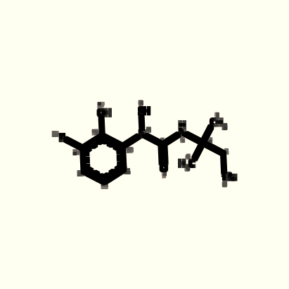 CC(C)(C)CC(C)(C)NC(=O)N(S)c1cccc(F)c1O